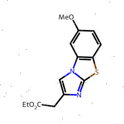 CCOC(=O)Cc1cn2c(n1)sc1ccc(OC)cc12